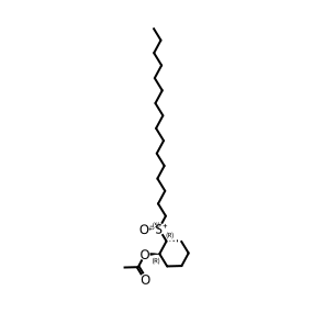 CCCCCCCCCCCCCCCC[S@@+]([O-])[C@@H]1CCCC[C@H]1OC(C)=O